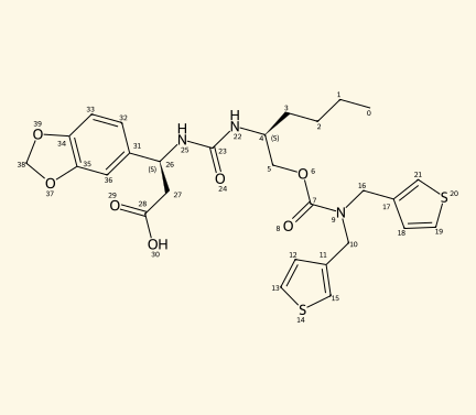 CCCC[C@@H](COC(=O)N(Cc1ccsc1)Cc1ccsc1)NC(=O)N[C@@H](CC(=O)O)c1ccc2c(c1)OCO2